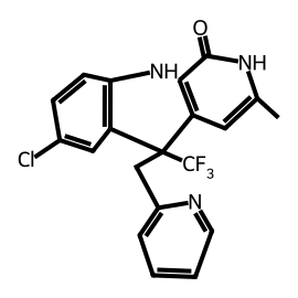 Cc1cc2c(c(=O)[nH]1)Nc1ccc(Cl)cc1C2(Cc1ccccn1)C(F)(F)F